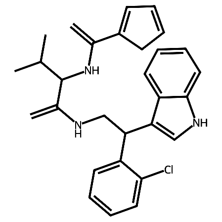 C=C(NC(C(=C)NCC(c1ccccc1Cl)c1c[nH]c2ccccc12)C(C)C)C1=CC=CC1